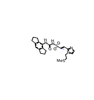 CSCCn1ccnc1/C=C/S(=O)(=O)NC(=O)Nc1c2c(cc3c1CCC3)CCC2